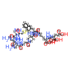 NCC(NC(=O)CS)C(=O)NC(CN)C(=O)NC(CN)C(=O)NCCC(=O)N1CCC(C(=O)NC(Cc2ccc3ccccc3c2)C(=O)NCCCCC(NC(=O)NC(CCC(=O)O)C(=O)O)C(=O)O)CC1